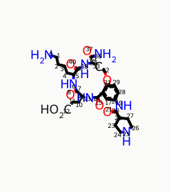 NCCCCC1NC(=O)[C@H](CCC(=O)O)NC(=O)c2cc(NC(=O)C3CCNCC3)ccc2OCC[C@@H](C(N)=O)NC1=O